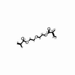 C=C(C)C(=O)OCCOCCOC(=O)C(C)=CC